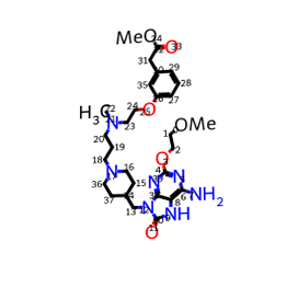 COCCOc1nc(N)c2[nH]c(=O)n(CC3CCN(CCCN(C)CCOc4cccc(CC(=O)OC)c4)CC3)c2n1